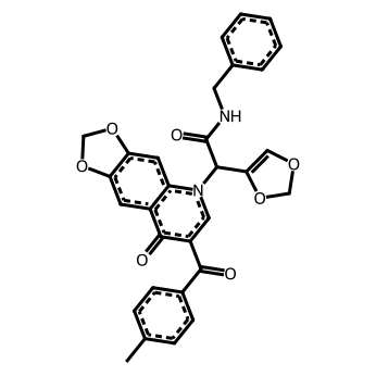 Cc1ccc(C(=O)c2cn(C(C(=O)NCc3ccccc3)C3=COCO3)c3cc4c(cc3c2=O)OCO4)cc1